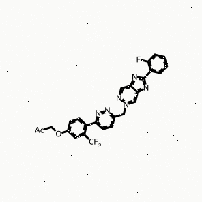 CC(=O)COc1ccc(-c2ccc(Cn3cc4nc(-c5ccccc5F)nc-4cn3)nn2)c(C(F)(F)F)c1